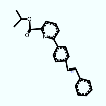 CC(C)OC(=O)c1cccc(-c2ccc(/C=C/c3ccccc3)cc2)n1